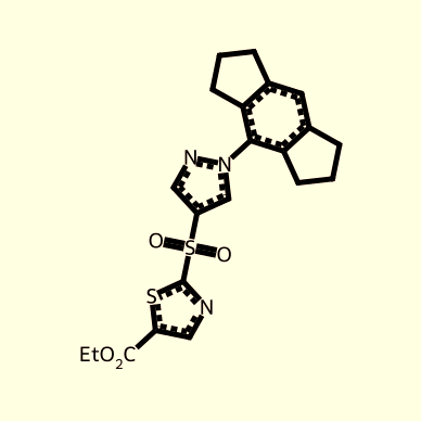 CCOC(=O)c1cnc(S(=O)(=O)c2cnn(-c3c4c(cc5c3CCC5)CCC4)c2)s1